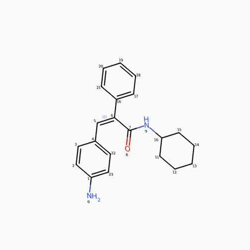 Nc1ccc(/C=C(\C(=O)NC2CCCCC2)c2ccccc2)cc1